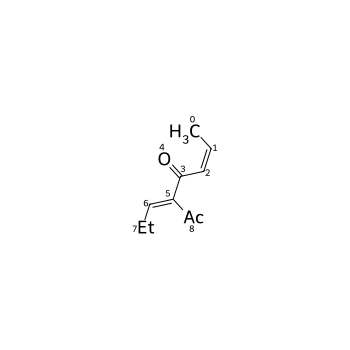 C/C=C\C(=O)/C(=C/CC)C(C)=O